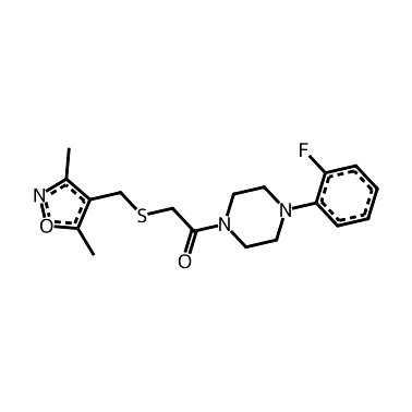 Cc1noc(C)c1CSCC(=O)N1CCN(c2ccccc2F)CC1